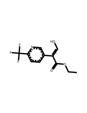 CCOC(=O)/C(=C/O)c1ccc(C(F)(F)F)nc1